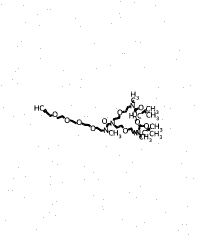 C#CCOCCOCCOCCOCCN(C)C(=O)N(CCOCCN(C)C(=O)OC(C)(C)C)CCOCCN(C)C(=O)OC(C)(C)C